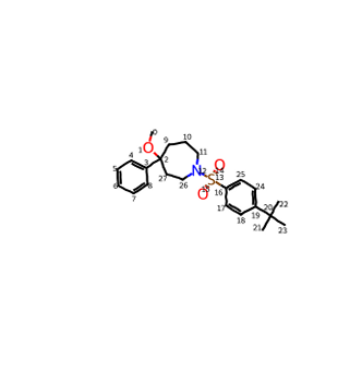 COC1(c2ccccc2)CCCN(S(=O)(=O)c2ccc(C(C)(C)C)cc2)CC1